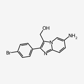 Nc1ccc2nc(-c3ccc(Br)cc3)c(CO)n2c1